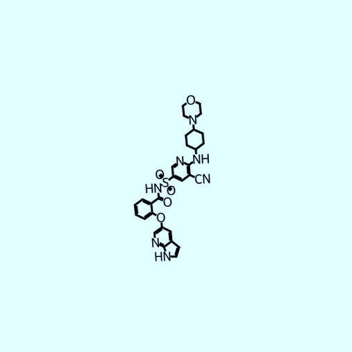 N#Cc1cc(S(=O)(=O)NC(=O)c2ccccc2Oc2cnc3[nH]ccc3c2)cnc1NC1CCC(N2CCOCC2)CC1